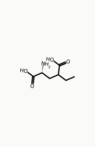 CCC(C[C@@H](N)C(=O)O)C(=O)O